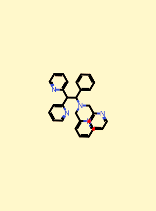 c1ccc(C(C(c2ccccn2)c2ccccn2)N(Cc2ccccn2)Cc2ccccn2)cc1